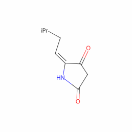 CC(C)C/C=C1/NC(=O)CC1=O